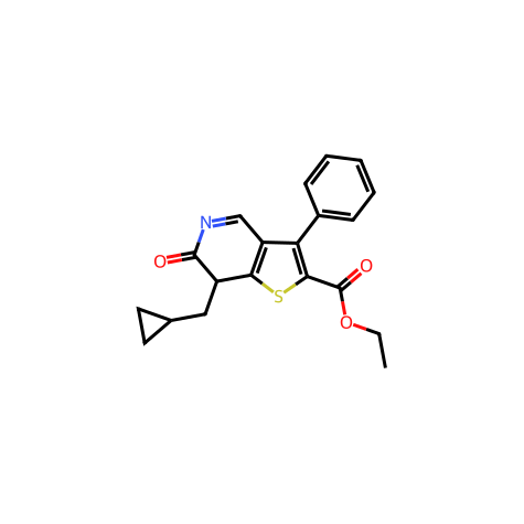 CCOC(=O)c1sc2c(c1-c1ccccc1)C=NC(=O)C2CC1CC1